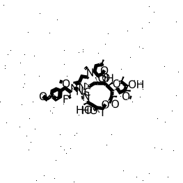 CO[C@H](c1ccc(C=O)cc1)[C@@H](CF)n1cc(CCN(C)[C@@H]2C[C@H](O[C@@H]3[C@@H](C)[C@H](C4C[C@@](C)(OC)[C@@H](O)[C@H](C)O4)[C@@H](C)C(=O)O[C@H](I)[C@@](C)(O)[C@H](O)[C@@H](C)N(C)C[C@H](C)C[C@@]3(C)O)O[C@H](C)C2)nn1